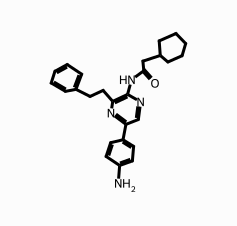 Nc1ccc(-c2cnc(NC(=O)CC3CCCCC3)c(CCc3ccccc3)n2)cc1